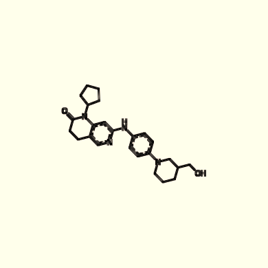 O=C1CCc2cnc(Nc3ccc(N4CCCC(CO)C4)cc3)cc2N1C1CCCC1